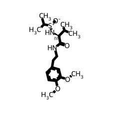 COc1ccc(CCNC(=O)[C@@H](N[S+]([O-])C(C)C)C(C)C)cc1OC